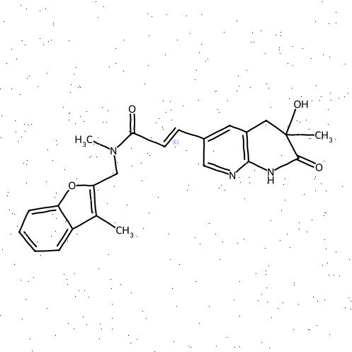 Cc1c(CN(C)C(=O)/C=C/c2cnc3c(c2)CC(C)(O)C(=O)N3)oc2ccccc12